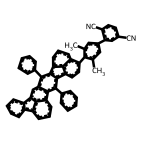 Cc1cc(-c2cc(C#N)ccc2C#N)cc(C)c1-c1ccc2c3c(-c4ccccc4)c4c(cc5c6ccccc6c6cccc4c65)c(-c4ccccc4)c3c3cccc1c32